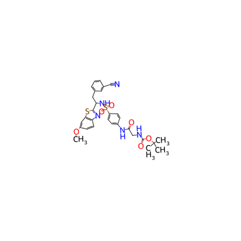 COc1ccc2nc(C(Cc3cccc(C#N)c3)NS(=O)(=O)c3ccc(NC(=O)CNC(=O)OC(C)(C)C)cc3)sc2c1